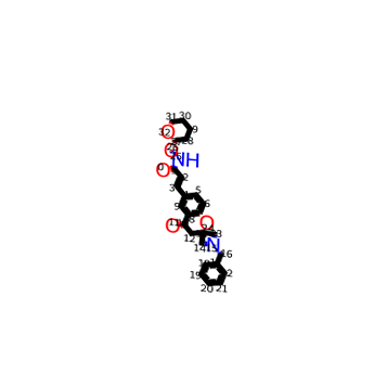 O=C(C=Cc1ccc2c(c1)C(=O)CC1(CN(Cc3ccccc3)C1)O2)NOC1CCCCO1